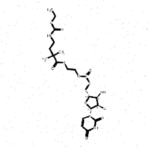 CCOC(=O)NCCC(C)(C)C(=O)SCCO[PH](=O)OC[C@H]1O[C@@H](n2ccc(=O)[nH]c2=O)[C@H](Cl)[C@@H]1O